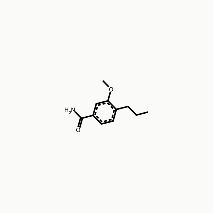 CCCc1ccc(C(N)=O)cc1OC